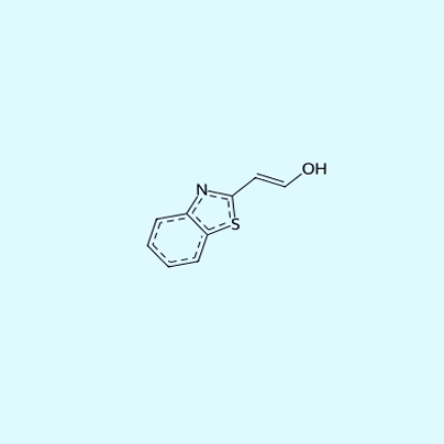 OC=Cc1nc2ccccc2s1